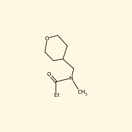 CCC(=O)N(C)CC1CCOCC1